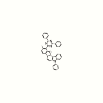 Cc1ccc2c(c1-c1nc(-c3ccccc3)nc(-c3ccccc3)n1)OC1c3c(n(-c4ccccc4)c4ccccc34)C=CC21